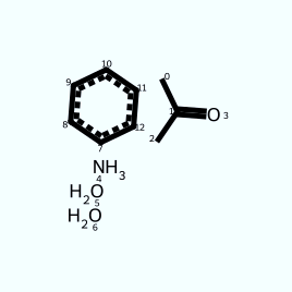 CC(C)=O.N.O.O.c1ccccc1